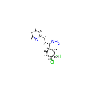 NC(CCc1ccccn1)c1ccc(Cl)c(Cl)c1